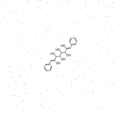 OC(=Cc1ccccc1)C(O)C(O)C(O)C(O)C(O)=Cc1ccccc1